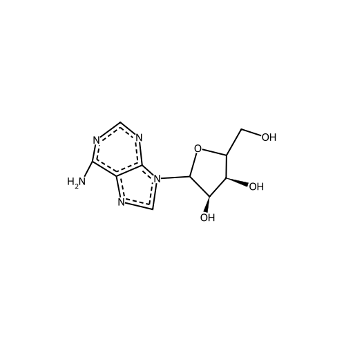 Nc1ncnc2c1ncn2C1OC(CO)[C@@H](O)[C@H]1O